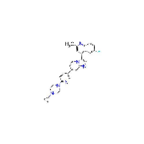 Cc1cc(-c2cnc3cc(-c4ccc(N5CCN(C6CC6)CC5)nc4)ccn23)c2cc(F)ccc2n1